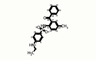 CCNc1ccc(S(=O)(=O)Nc2ccc(C)cc2C(=O)c2ccccc2)cc1